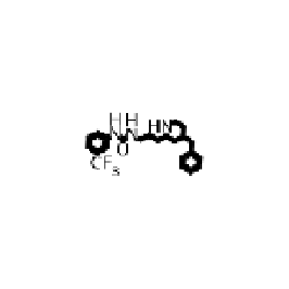 O=C(NCCCC1CC(Cc2ccccc2)CCN1)Nc1cccc(C(F)(F)F)c1